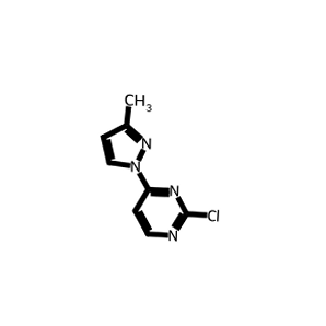 Cc1ccn(-c2ccnc(Cl)n2)n1